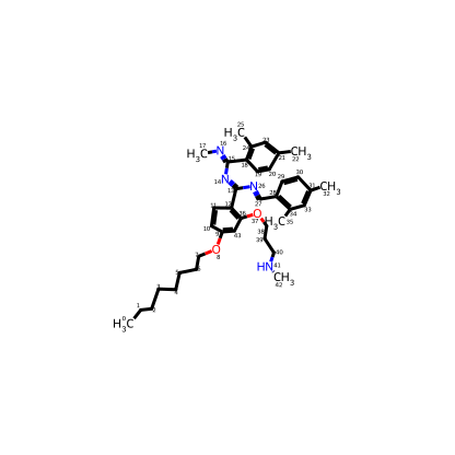 CCCCCCCCOc1ccc(C(=N/C(=N\C)c2ccc(C)cc2C)/N=C/c2ccc(C)cc2C)c(OCCCNC)c1